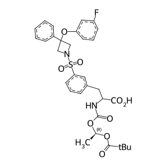 C[C@@H](OC(=O)NC(Cc1cccc(S(=O)(=O)N2CC(Oc3cccc(F)c3)(c3ccccc3)C2)c1)C(=O)O)OC(=O)C(C)(C)C